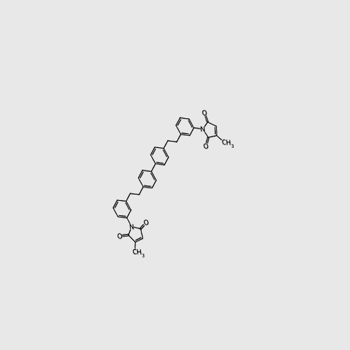 CC1=CC(=O)N(c2cccc(CCc3ccc(-c4ccc(CCc5cccc(N6C(=O)C=C(C)C6=O)c5)cc4)cc3)c2)C1=O